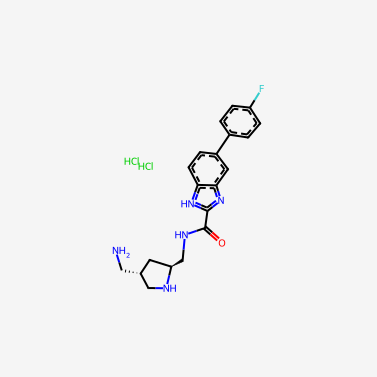 Cl.Cl.NC[C@H]1CN[C@H](CNC(=O)c2nc3cc(-c4ccc(F)cc4)ccc3[nH]2)C1